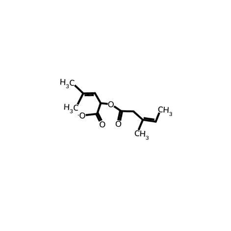 CC=C(C)CC(=O)OC(C=C(C)C)C([O])=O